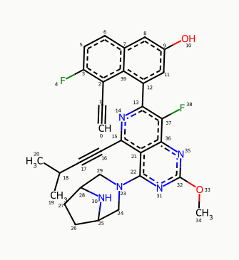 C#Cc1c(F)ccc2cc(O)cc(-c3nc(C#CC(C)C)c4c(N5CC6CCC(C5)N6)nc(OC)nc4c3F)c12